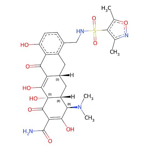 Cc1noc(C)c1S(=O)(=O)NCc1ccc(O)c2c1C[C@@H]1C[C@@H]3[C@@H](N(C)C)C(O)=C(C(N)=O)C(=O)[C@@]3(O)C(O)=C1C2=O